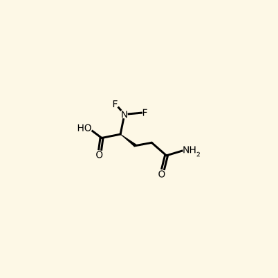 NC(=O)CC[C@@H](C(=O)O)N(F)F